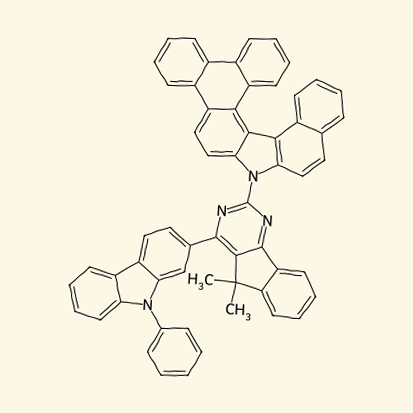 CC1(C)c2ccccc2-c2nc(-n3c4ccc5ccccc5c4c4c5c6ccccc6c6ccccc6c5ccc43)nc(-c3ccc4c5ccccc5n(-c5ccccc5)c4c3)c21